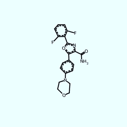 NC(=O)c1nc(-c2c(F)cccc2F)oc1-c1ccc(N2CCOCC2)cc1